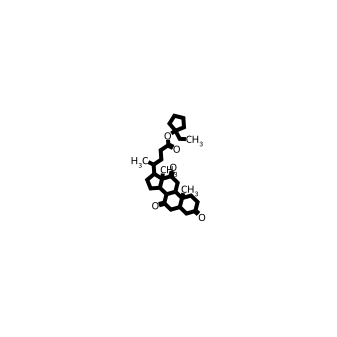 CCC1(OC(=O)CCC(C)C2CCC3C4C(=O)CC5CC(=O)CCC5(C)C4CC(=O)C23C)CCCC1